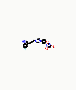 COc1cc(OC)nc(Oc2ccc(N3CCN(CCCCc4c[nH]c5ccc(F)cc45)CC3)cc2)n1